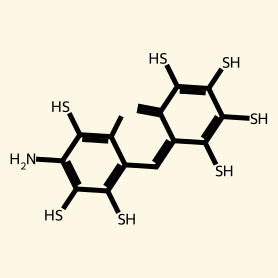 C=c1c(S)c(S)c(S)c(S)/c1=C/c1c(C)c(S)c(N)c(S)c1S